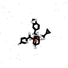 O=C(O[C@H]1[C@@H]2[C@@H]3C[C@@H](C[C@H]1C3NCc1ccc3c(c1)OCO3)CN2C(=O)c1ccc(F)cn1)C1CC1